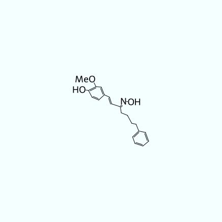 COc1cc(C=CC(CCCCc2ccccc2)=NO)ccc1O